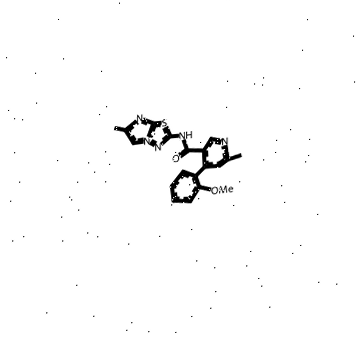 COc1ccccc1-c1cc(C)ncc1C(=O)Nc1nn2cc(C)nc2s1